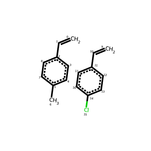 C=Cc1ccc(C)cc1.C=Cc1ccc(Cl)cc1